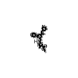 CCOC(=O)c1sc(NCc2cc(N(C)Cc3cccnc3)cc(N3CCOCC3)n2)nc1C